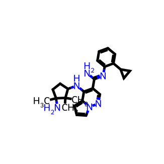 CC1(N)CCC(Nc2c(/C(N)=N/c3ccccc3C3CC3)cnn3cccc23)C1(C)C